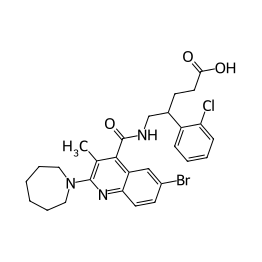 Cc1c(N2CCCCCC2)nc2ccc(Br)cc2c1C(=O)NCC(CCC(=O)O)c1ccccc1Cl